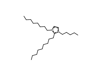 CCCCCCCCCc1n(CCCCC)cc[n+]1CCCCCCCC